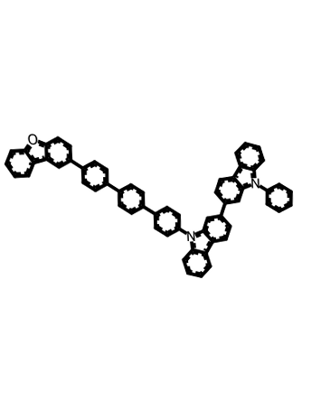 c1ccc(-n2c3ccccc3c3ccc(-c4ccc5c6ccccc6n(-c6ccc(-c7ccc(-c8ccc(-c9ccc%10oc%11ccccc%11c%10c9)cc8)cc7)cc6)c5c4)cc32)cc1